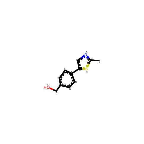 Cc1ncc(-c2ccc(CO)cc2)s1